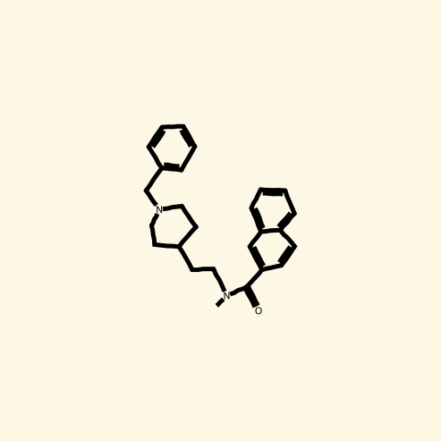 CN(CCC1CCN(Cc2ccccc2)CC1)C(=O)c1ccc2ccccc2c1